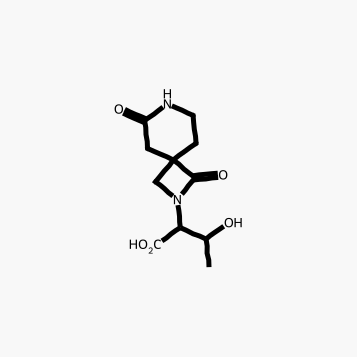 CC(O)C(C(=O)O)N1CC2(CCNC(=O)C2)C1=O